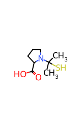 CC(C)(S)N1CCCC1C(=O)O